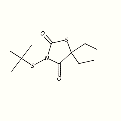 CCC1(CC)SC(=O)N(SC(C)(C)C)C1=O